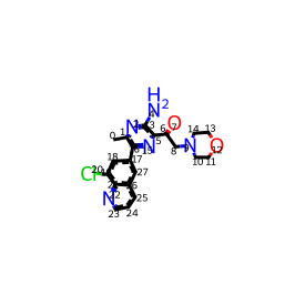 Cc1nc(N)c(C(=O)CN2CCOCC2)nc1-c1cc(Cl)c2ncccc2c1